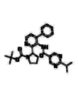 CC(C)c1ncc(C(=O)Nc2c(-c3ccccc3)ccnc2C2CCCN2C(=O)OC(C)(C)C)cn1